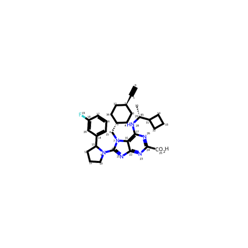 C#C[C@H]1CC[C@H](Cn2c(N3CCCC3c3cccc(F)c3)nc3nc(C(=O)O)nc(N[C@H](C)C4CCC4)c32)CC1